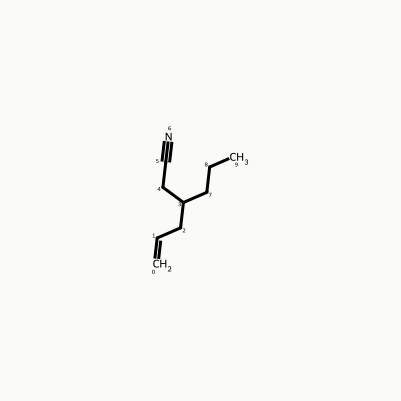 C=CCC(CC#N)CCC